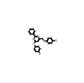 Fc1ccc(Sc2cc(CSc3ccc(Cl)cc3)nc(-c3ccccc3)n2)cc1